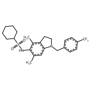 Cc1cc2c(c(C)c1NS(=O)(=O)C1CCCCC1)CCN2Cc1ccc(C(F)(F)F)cc1